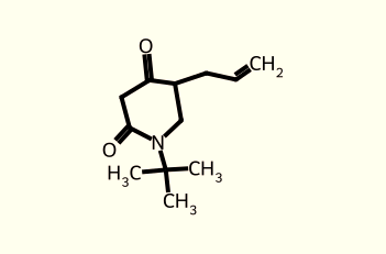 C=CCC1CN(C(C)(C)C)C(=O)CC1=O